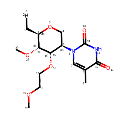 [2H]C[C@H]1OC[C@@H](n2cc(C)c(=O)[nH]c2=O)[C@H](OCCOC)[C@@H]1OC